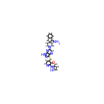 N[C@@H]1c2ccccc2CC12CCN(c1cnc3c(Sc4ccnc5c4OCC4(CCC4)N5)n[nH]c3n1)CC2